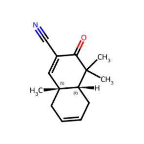 CC1(C)C(=O)C(C#N)=C[C@@]2(C)CC=CC[C@@H]12